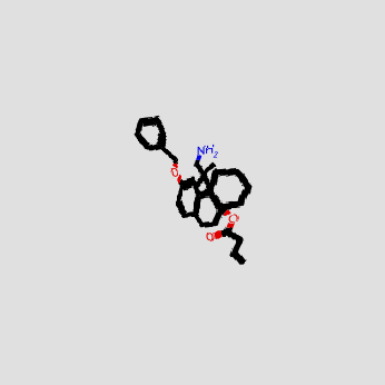 CCCC(=O)OC12CCCCC1(C(C)(C)CN)c1cc(OCc3ccccc3)ccc1CC2